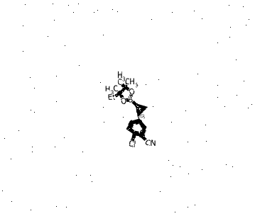 CCC1(C)OB(C2C[C@@H]2c2ccc(Cl)c(C#N)c2)OC1(C)C